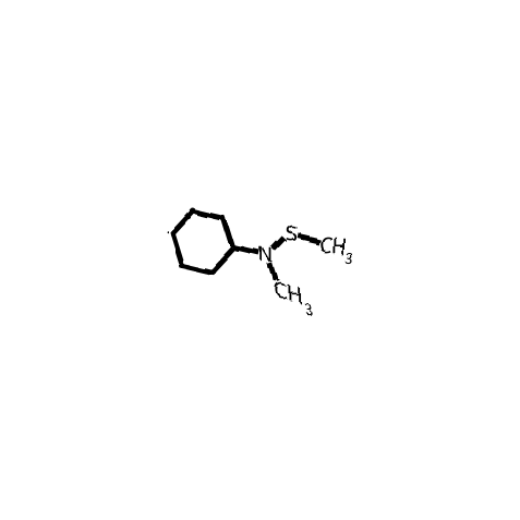 CSN(C)C1CC[CH]CC1